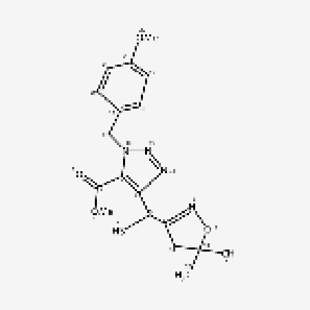 COC(=O)c1c(C(S)C2=NOC(C)(C)C2)nnn1Cc1ccc(OC)cc1